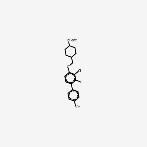 CCCCCC1CCC(COc2ccc(-c3ccc(CCC)cc3)c(F)c2Cl)CC1